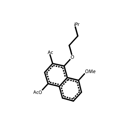 COc1cccc2c(OC(C)=O)cc(C(C)=O)c(OCCC(C)C)c12